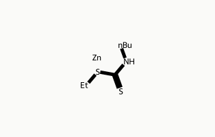 CCCCNC(=S)SCC.[Zn]